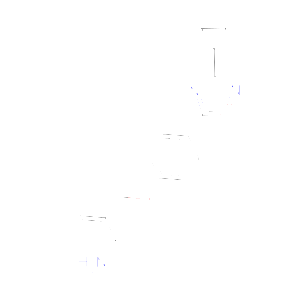 NC/C(=C\F)COc1ccc(-c2nc(C3CC3)no2)cc1